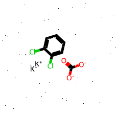 Clc1ccccc1Cl.O=C([O-])[O-].[K+].[K+]